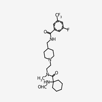 CN(CCN1CCC(CNC(=O)c2cc(F)cc(C(F)(F)F)c2)CC1)C(=O)C1(NC=O)CCCCC1